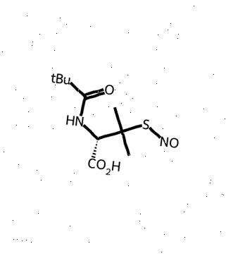 CC(C)(C)C(=O)N[C@@H](C(=O)O)C(C)(C)SN=O